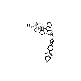 CN(C)C(=O)N[C@@H]1CCC[C@H]1C(C#N)(c1ccccc1)C1CCN(CC2CN(c3ccc(S(=O)(=O)c4ccncc4)cc3)C2)CC1